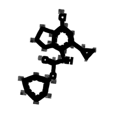 O=C(Nc1c(C2CC2)cc(Cl)c2c1CCC2)Oc1ccccc1